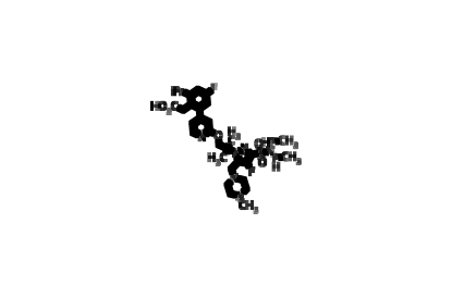 CPN(PC)S(=O)(=O)c1nn(C(C)(C)COc2cc(-c3cc(F)cc(C(C)C)c3CC(=O)O)ccn2)c(CN2CCN(C)CC2)c1F